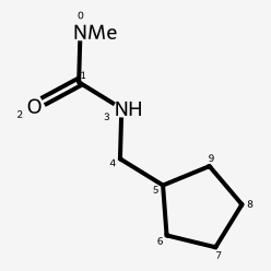 CNC(=O)NCC1CCCC1